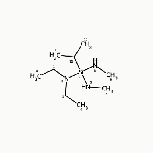 CCN(CC)[Si](NC)(NC)C(C)C